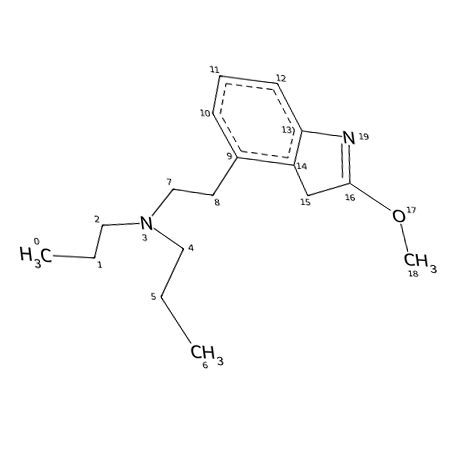 CCCN(CCC)CCc1cccc2c1CC(OC)=N2